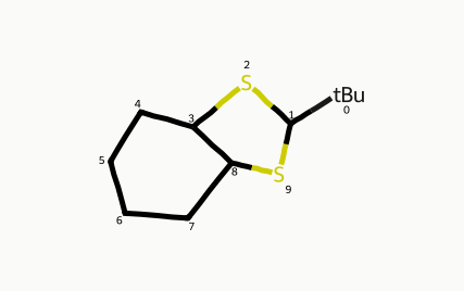 CC(C)(C)C1SC2CCCCC2S1